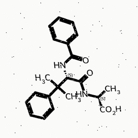 C[C@H](NC(=O)[C@@H](NC(=O)c1ccccc1)C(C)(C)c1ccccc1)C(=O)O